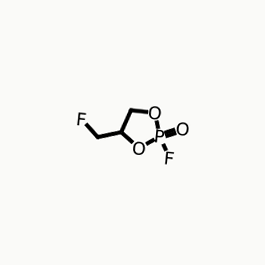 O=P1(F)OCC(CF)O1